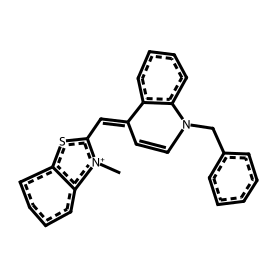 C[n+]1c(/C=C2\C=CN(Cc3ccccc3)c3ccccc32)sc2ccccc21